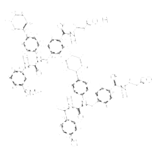 CC(NC(=O)N(Cc1ccc(C(=O)NCCC(=O)O)cc1)c1ccc(C2CCCCC2)cc1)c1ccc(Cl)cc1.CSc1cccc(NC(=O)N(Cc2ccc(C(=O)NCCC(=O)O)cc2)c2ccc(C3=CCCCC3)cc2)c1